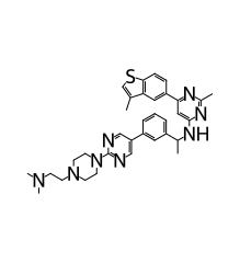 Cc1nc(NC(C)c2cccc(-c3cnc(N4CCN(CCN(C)C)CC4)nc3)c2)cc(-c2ccc3scc(C)c3c2)n1